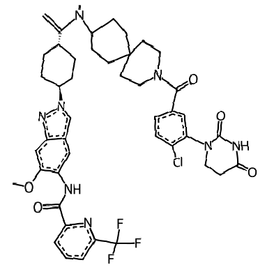 C=C([C@H]1CC[C@H](n2cc3cc(NC(=O)c4cccc(C(F)(F)F)n4)c(OC)cc3n2)CC1)N(C)C1CCC2(CC1)CCN(C(=O)c1ccc(Cl)c(N3CCC(=O)NC3=O)c1)CC2